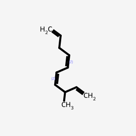 C=CC/C=C\C=C/C(C)C=C